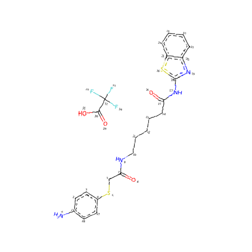 Nc1ccc(SCC(=O)NCCCCCC(=O)Nc2nc3ccccc3s2)cc1.O=C(O)C(F)(F)F